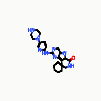 O=C1NCC2(CCCCC2)C2=c3nc(Nc4ccc(N5CCNCC5)cn4)ncc3=NC12